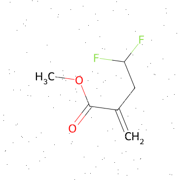 C=C(CC(F)F)C(=O)OC